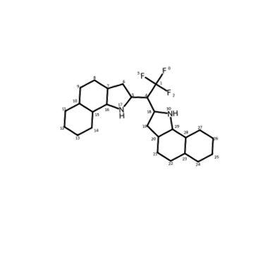 FC(F)(F)C(C1CC2CCC3CCCCC3C2N1)C1CC2CCC3CCCCC3C2N1